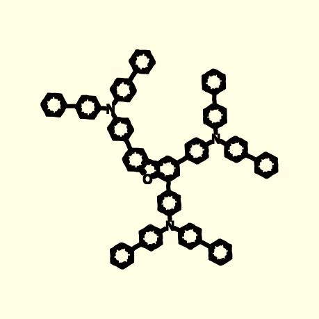 c1ccc(-c2ccc(N(c3ccc(-c4ccccc4)cc3)c3ccc(-c4ccc5oc6c(-c7ccc(N(c8ccc(-c9ccccc9)cc8)c8ccc(-c9ccccc9)cc8)cc7)cc(-c7ccc(N(c8ccc(-c9ccccc9)cc8)c8ccc(-c9ccccc9)cc8)cc7)cc6c5c4)cc3)cc2)cc1